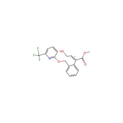 COC(=O)/C(=C/CO)c1ccccc1COc1cccc(C(F)(F)F)n1